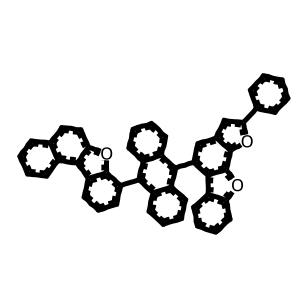 c1ccc(-c2cc3cc(-c4c5ccccc5c(-c5cccc6c5oc5ccc7ccccc7c56)c5ccccc45)c4c5ccccc5oc4c3o2)cc1